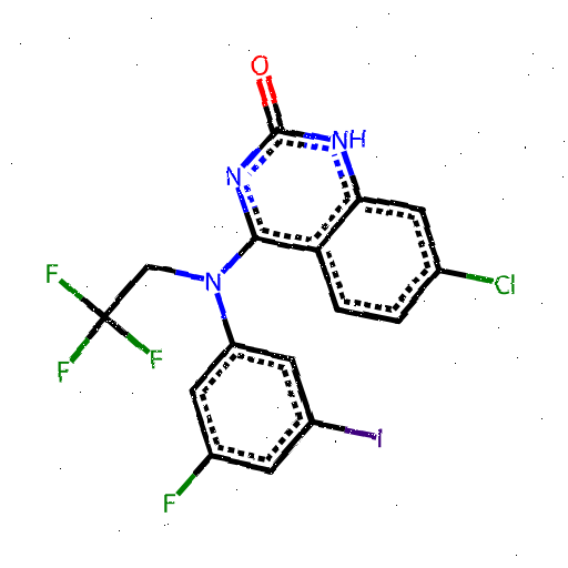 O=c1nc(N(CC(F)(F)F)c2cc(F)cc(I)c2)c2ccc(Cl)cc2[nH]1